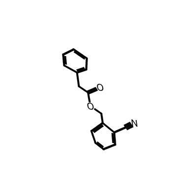 N#Cc1ccccc1COC(=O)Cc1ccccc1